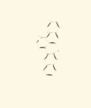 c1ccc2cc3c(cc2c1)Oc1cc2ccccc2c2nccc-3c12